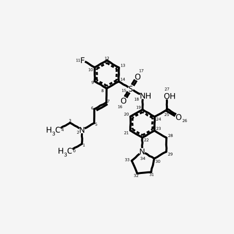 CCN(CC)CC=Cc1cc(F)ccc1S(=O)(=O)Nc1ccc2c(c1C(=O)O)CCC1CCCN21